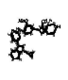 COc1cc(N2CC3(CCNCC3)C2C(=O)O)ccc1Nc1nccc(-c2cn(C3CC3)c3ccccc23)n1